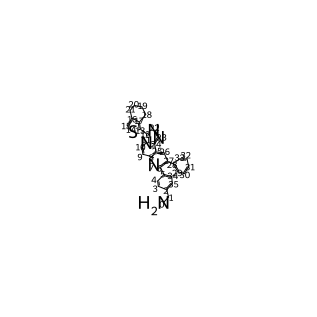 NCc1ccc(-c2nc3ccn4c(-c5scc6c5CCCC6)nnc4c3cc2-c2ccccc2)cc1